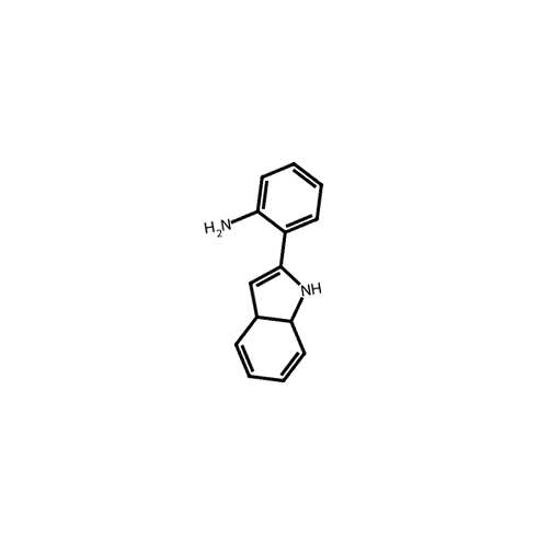 Nc1ccccc1C1=CC2C=CC=CC2N1